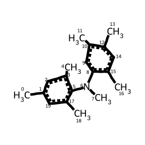 Cc1cc(C)c(N(C)c2cc(C)c(C)cc2C)c(C)c1